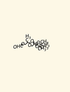 CC(COC=O)C1OC=C(B2OC(C)(C)C(C)(C)O2)CO1